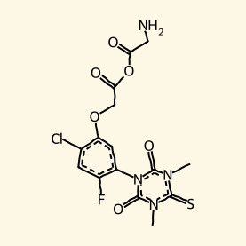 Cn1c(=S)n(C)c(=O)n(-c2cc(OCC(=O)OC(=O)CN)c(Cl)cc2F)c1=O